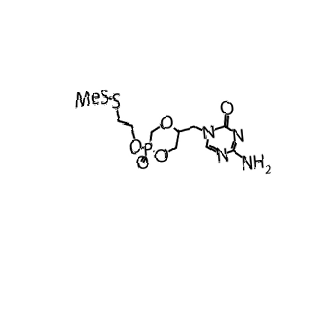 CSSCCOP1(=O)COC(Cn2cnc(N)nc2=O)CO1